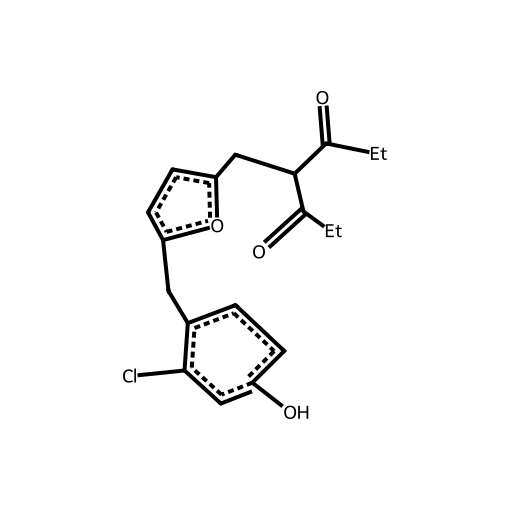 CCC(=O)C(Cc1ccc(Cc2ccc(O)cc2Cl)o1)C(=O)CC